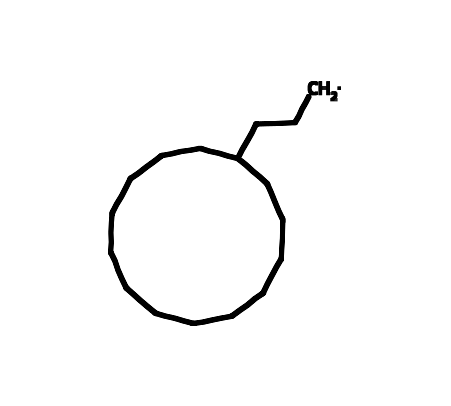 [CH2]CCC1CCCCCCCCCCCCC1